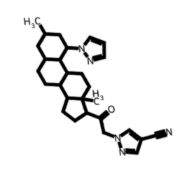 CC1CC2CCC3C(CCC4(C)C(C(=O)Cn5cc(C#N)cn5)CCC34)C2C(n2cccn2)C1